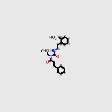 O=[C]CN(C(=O)/C=C/c1ccccc1)C(=O)NCCc1ccccc1C(=O)O